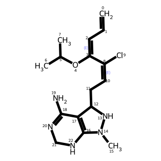 C=C/C=C(OC(C)C)\C(Cl)=C/CC1NN(C)C2=C1C(N)=NCN2